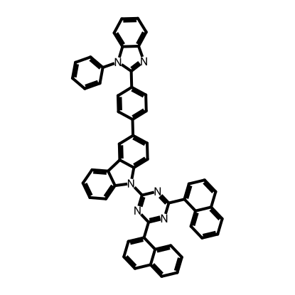 c1ccc(-n2c(-c3ccc(-c4ccc5c(c4)c4ccccc4n5-c4nc(-c5cccc6ccccc56)nc(-c5cccc6ccccc56)n4)cc3)nc3ccccc32)cc1